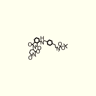 CN(CCc1ccc(CNc2cccc3c2C(=O)N(C2CCC(=O)N(C)C2=O)C3=O)cc1)C(=O)OC(C)(C)C